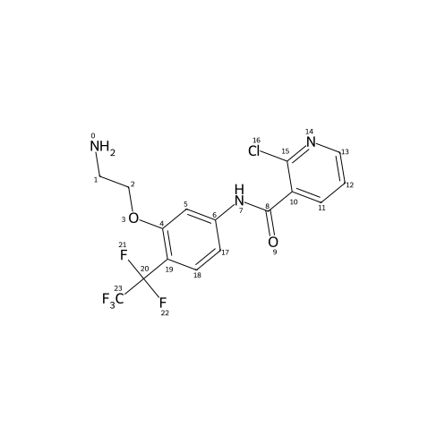 NCCOc1cc(NC(=O)c2cccnc2Cl)ccc1C(F)(F)C(F)(F)F